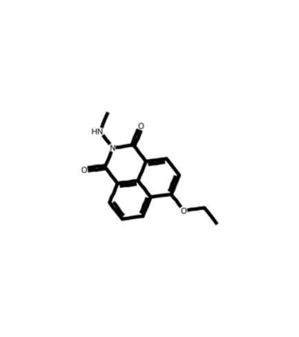 CCOc1ccc2c3c(cccc13)C(=O)N(NC)C2=O